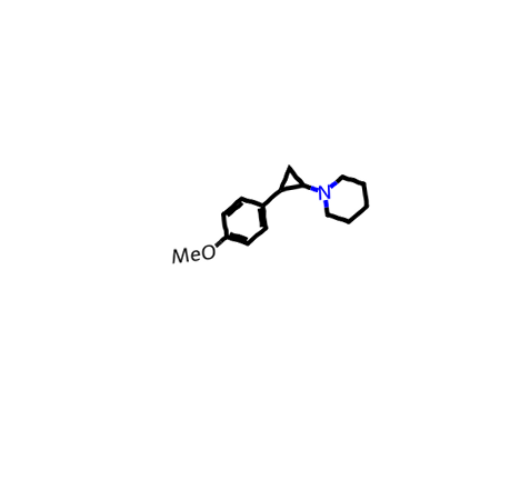 COc1ccc(C2CC2N2CCCCC2)cc1